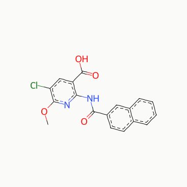 COc1nc(NC(=O)c2ccc3ccccc3c2)c(C(=O)O)cc1Cl